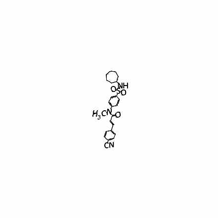 CN(C(=O)C=Cc1ccc(C#N)cc1)c1ccc(S(=O)(=O)NC2CCCCCC2)cc1